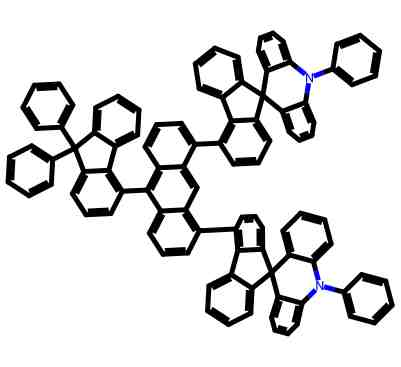 c1ccc(N2c3ccccc3C3(c4ccccc4-c4c(-c5cccc6c(-c7cccc8c7-c7ccccc7C8(c7ccccc7)c7ccccc7)c7cccc(-c8cccc9c8-c8ccccc8C98c9ccccc9N(c9ccccc9)c9ccccc98)c7cc56)cccc43)c3ccccc32)cc1